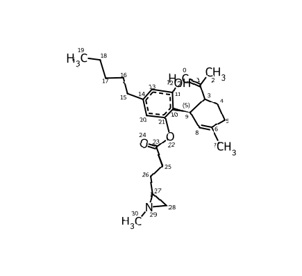 C=C(C)C1CCC(C)=C[C@H]1c1c(O)cc(CCCCC)cc1OC(=O)CCC1CN1C